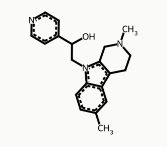 Cc1ccc2c(c1)c1c(n2CC(O)c2ccncc2)CN(C)CC1